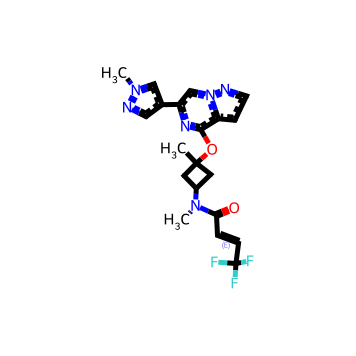 CN(C(=O)/C=C/C(F)(F)F)C1CC(C)(Oc2nc(-c3cnn(C)c3)cn3nccc23)C1